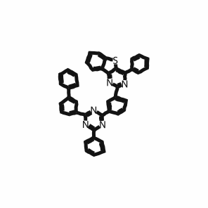 c1ccc(-c2cccc(-c3nc(-c4ccccc4)nc(-c4cccc(-c5nc(-c6ccccc6)c6sc7ccccc7c6n5)c4)n3)c2)cc1